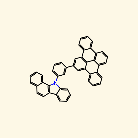 c1cc(-c2cc3c4ccccc4c4cccc5c6ccccc6c(c2)c3c45)cc(-n2c3ccccc3c3ccc4ccccc4c32)c1